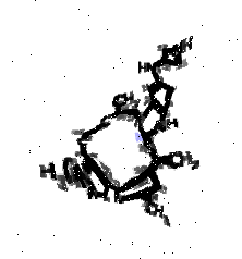 C=C1/N=C2\Nc3ccc(NC4CNC4)cc3N2C[C@H](C)CCCCc2c(cnn2C)-c2cc1cc(C)n2